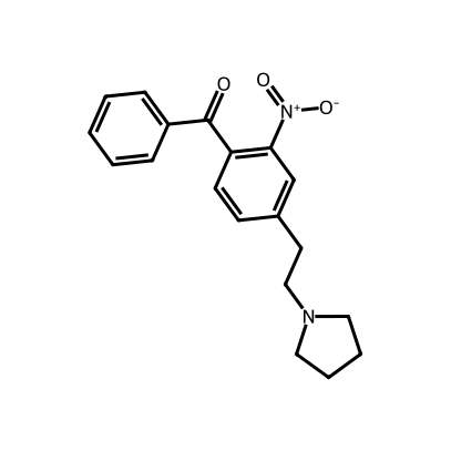 O=C(c1ccccc1)c1ccc(CCN2CCCC2)cc1[N+](=O)[O-]